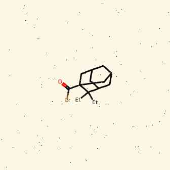 CCC1(CC)C2CC3CC(C2)CC1(C(=O)Br)C3